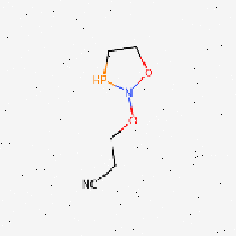 N#CCCON1OCCP1